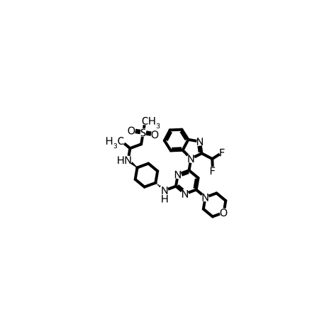 CC(CS(C)(=O)=O)N[C@H]1CC[C@H](Nc2nc(N3CCOCC3)cc(-n3c(C(F)F)nc4ccccc43)n2)CC1